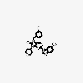 N#Cc1ccc2ncn(-c3ncc4c(n3)n(C3CCOCC3)c(=O)n4Cc3cccc(F)c3)c2c1